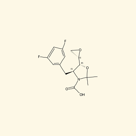 CC1(C)O[C@@H]([C@@H]2CO2)[C@H](Cc2cc(F)cc(F)c2)N1C(=O)O